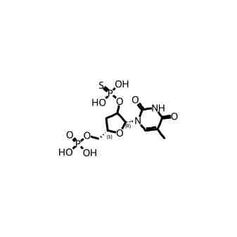 Cc1cn([C@@H]2O[C@H](COP(=O)(O)O)CC2OP(O)(O)=S)c(=O)[nH]c1=O